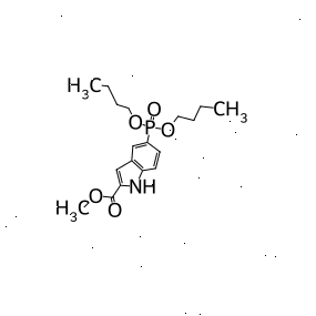 CCCCOP(=O)(OCCCC)c1ccc2[nH]c(C(=O)OC)cc2c1